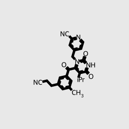 Cc1cc(CCC#N)cc(C(=O)c2c(C(C)C)c(=O)[nH]c(=O)n2Cc2ccnc(C#N)c2)c1